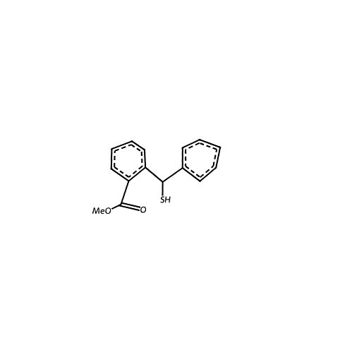 COC(=O)c1ccccc1C(S)c1ccccc1